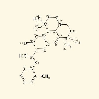 Cc1ccccc1SC(C)c1cc2cc3c4c(c2oc1=O)C(C)(C)CCN4CCC3(C)C